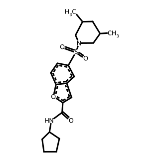 CC1CC(C)CN(S(=O)(=O)c2ccc3oc(C(=O)NC4CCCC4)cc3c2)C1